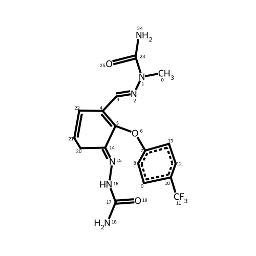 CN(N=CC1=C(Oc2ccc(C(F)(F)F)cc2)C(=NNC(N)=O)CC=C1)C(N)=O